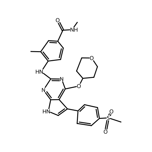 CNC(=O)c1ccc(Nc2nc(OC3CCOCC3)c3c(-c4ccc(S(C)(=O)=O)cc4)c[nH]c3n2)c(C)c1